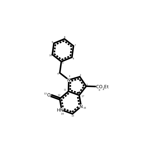 CCOC(=O)c1cn(Cc2ccccc2)c2c(=O)[nH]cnc12